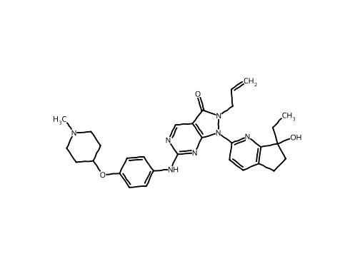 C=CCn1c(=O)c2cnc(Nc3ccc(OC4CCN(C)CC4)cc3)nc2n1-c1ccc2c(n1)C(O)(CC)CC2